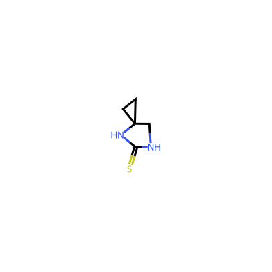 S=C1NCC2(CC2)N1